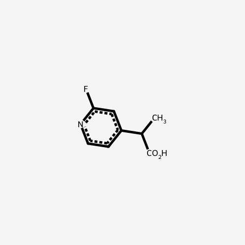 CC(C(=O)O)c1ccnc(F)c1